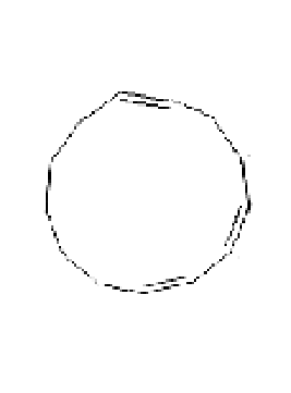 [C]1=CC=CCCC=CCCCCC1